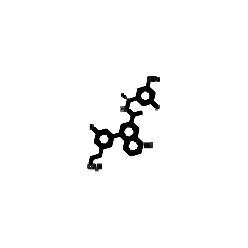 COc1cc(F)cc([C@@H](C)NC(C)c2cc(-c3cc(F)cc(CCC(=O)O)c3)c3ccccc3c2)c1.Cl